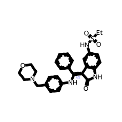 CCS(=O)(=O)Nc1ccc2c(c1)/C(=C(/Nc1ccc(CN3CCOCC3)cc1)c1ccccc1)C(=O)N2